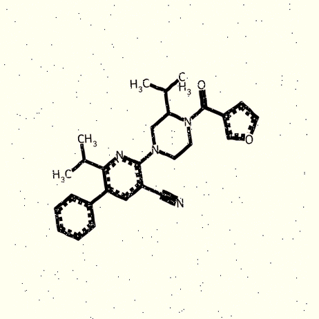 CC(C)c1nc(N2CCN(C(=O)c3ccoc3)C(C(C)C)C2)c(C#N)cc1-c1ccccc1